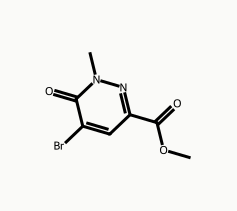 COC(=O)c1cc(Br)c(=O)n(C)n1